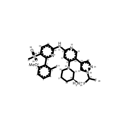 COc1cccc(F)c1-c1nc(Nc2cc(N3CCC[C@H](N)C3)c(-c3cnn(C(F)F)c3)cn2)ccc1S(C)(=O)=O